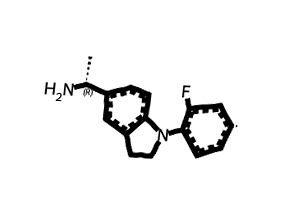 C[C@@H](N)c1ccc2c(c1)CCN2c1cc[c]cc1F